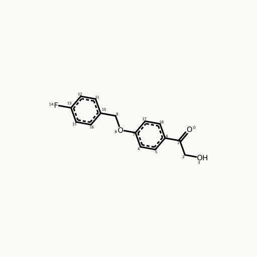 O=C(CO)c1ccc(OCc2ccc(F)cc2)cc1